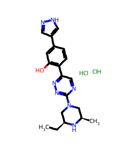 CC[C@H]1CN(c2ncc(-c3ccc(-c4cn[nH]c4)cc3O)nn2)C[C@@H](C)N1.Cl.Cl